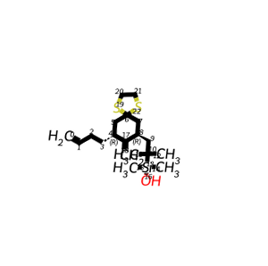 C=CCC[C@@H]1CC2(C[C@@H](CC(C)(C)[Si](C)(C)O)C1=C)SCCS2